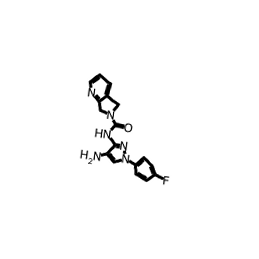 Nc1cn(-c2ccc(F)cc2)nc1NC(=O)N1Cc2cccnc2C1